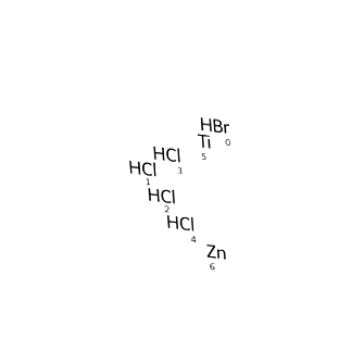 Br.Cl.Cl.Cl.Cl.[Ti].[Zn]